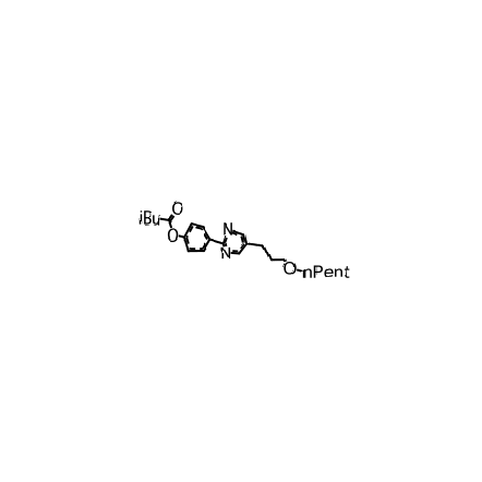 CCCCCOCCCc1cnc(-c2ccc(OC(=O)C(C)CC)cc2)nc1